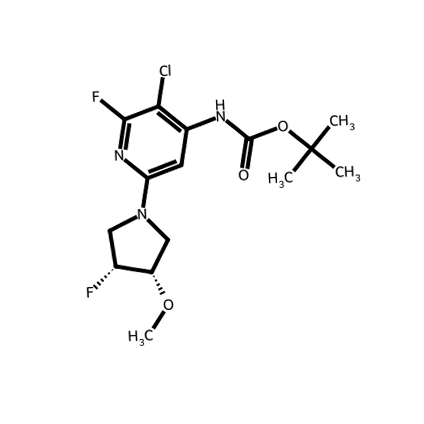 CO[C@H]1CN(c2cc(NC(=O)OC(C)(C)C)c(Cl)c(F)n2)C[C@H]1F